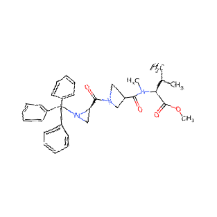 COC(=O)[C@H](C(C)C)N(C)C(=O)C1CN(C(=O)[C@H]2CN2C(c2ccccc2)(c2ccccc2)c2ccccc2)C1